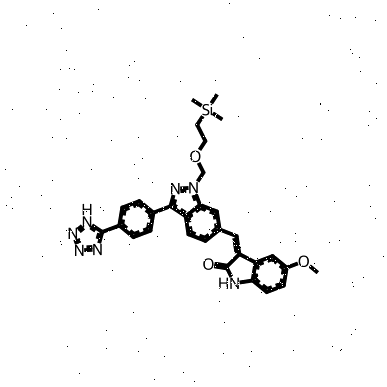 COc1ccc2c(c1)/C(=C/c1ccc3c(-c4ccc(-c5nnn[nH]5)cc4)nn(COCC[Si](C)(C)C)c3c1)C(=O)N2